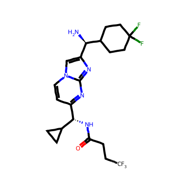 N[C@H](c1cn2ccc([C@H](NC(=O)CCC(F)(F)F)C3CC3)nc2n1)C1CCC(F)(F)CC1